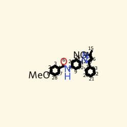 COc1ccc(C(=O)Nc2ccc(-n3nc(C)cc3-c3ccccc3)c([N+](=O)[O-])c2)cc1